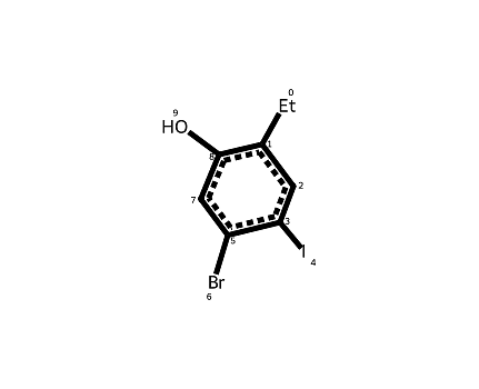 CCc1cc(I)c(Br)cc1O